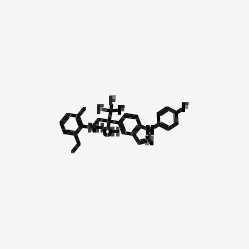 CCc1cccc(C)c1NCC(O)(c1ccc2c(cnn2-c2ccc(F)cc2)c1)C(F)(F)F